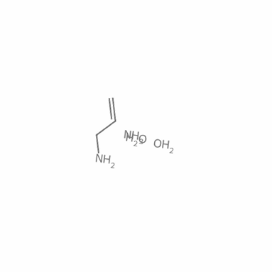 C=CCN.N.O.O